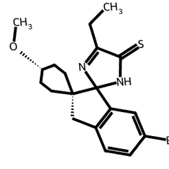 CCC1=NC2(NC1=S)c1cc(Br)ccc1C[C@]21CC[C@@H](OC)CC1